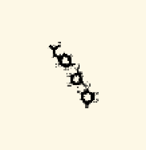 CC(C)Cc1ccc(Oc2cccc(Oc3ccccc3)c2)cc1